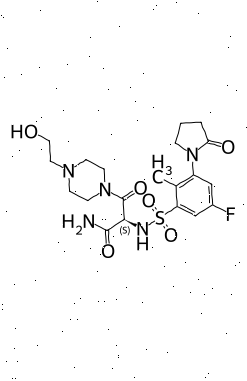 Cc1c(N2CCCC2=O)cc(F)cc1S(=O)(=O)N[C@@H](C(N)=O)C(=O)N1CCN(CCO)CC1